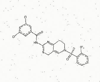 O=C(NC1=NCC2=CN(S(=O)(=O)c3ccccc3C(F)(F)F)CCC2=N1)c1cc(Cl)cc(Cl)c1